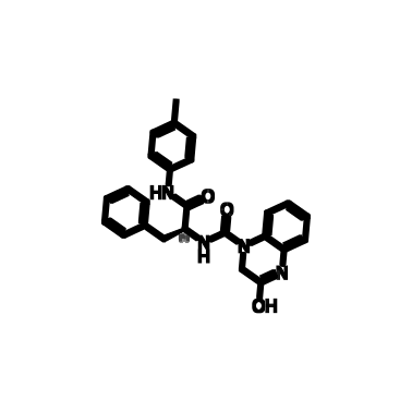 Cc1ccc(NC(=O)[C@H](Cc2ccccc2)NC(=O)N2CC(O)=Nc3ccccc32)cc1